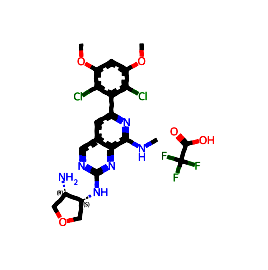 CNc1nc(-c2c(Cl)c(OC)cc(OC)c2Cl)cc2cnc(N[C@@H]3COC[C@@H]3N)nc12.O=C(O)C(F)(F)F